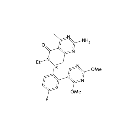 CCN1C(=O)c2c(C)nc(N)nc2C[C@@H]1c1ccc(F)cc1-c1cnc(OC)nc1OC